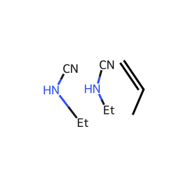 C=CC.CCNC#N.CCNC#N